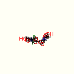 COc1cc2c(cc1OCCCOc1c(F)c3c(c(F)c1OC)CN(C(=O)CC(C)C(=O)O)C3)CN(C(=O)CC(C)C(=O)O)C2